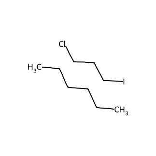 CCCCCC.ClCCCI